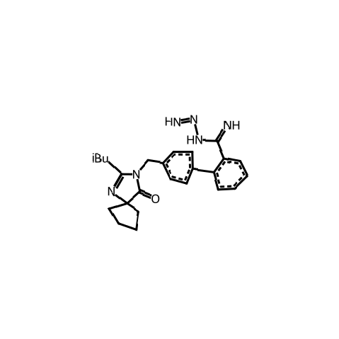 CCC(C)C1=NC2(CCCC2)C(=O)N1Cc1ccc(-c2ccccc2C(=N)NN=N)cc1